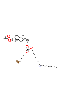 CCCCCCCC/C=C\CCCCCCCCOC(CC[C@@H](C)C1CCC2C3CCC4C[C@H](OC(=O)C(C)(C)C)CC[C@]4(C)C3CC[C@@]21C)O[Si](C)(C)OCCCCCCBr